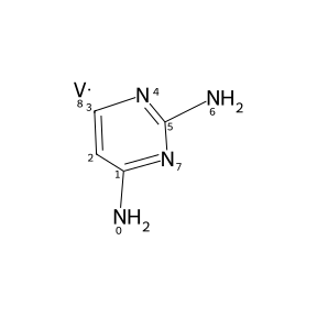 Nc1ccnc(N)n1.[V]